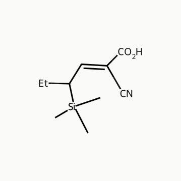 CCC(/C=C(\C#N)C(=O)O)[Si](C)(C)C